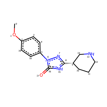 COc1ccc(-n2nc([C@H]3CCCNC3)[nH]c2=O)cc1